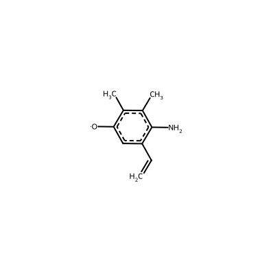 C=Cc1cc([O])c(C)c(C)c1N